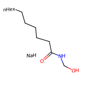 CCCCCCCCCCCC(=O)NCO.[NaH]